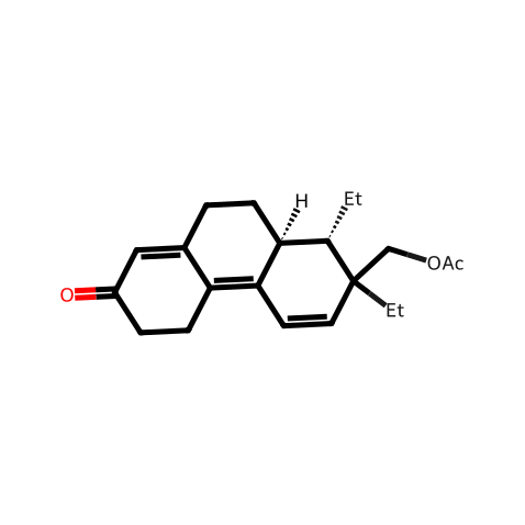 CC[C@H]1[C@@H]2CCC3=CC(=O)CCC3=C2C=CC1(CC)COC(C)=O